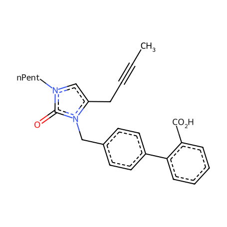 CC#CCc1cn(CCCCC)c(=O)n1Cc1ccc(-c2ccccc2C(=O)O)cc1